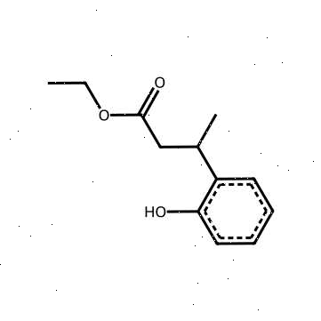 CCOC(=O)CC(C)c1ccccc1O